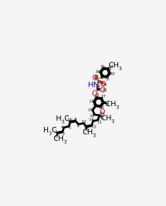 CC(C)=CCCC(C)=CCCC(C)=CCCC1(C)CCc2cc(OC(=O)NS(=O)(=O)c3ccc(C)cc3)cc(C)c2O1